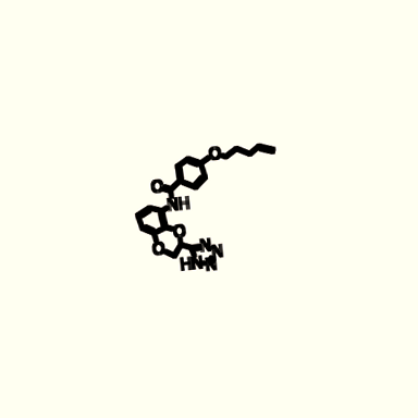 C=CCCCOc1ccc(C(=O)Nc2cccc3c2OC(c2nnn[nH]2)CO3)cc1